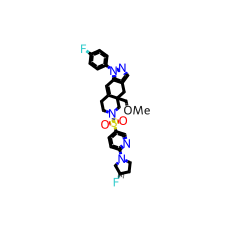 COCC12Cc3cnn(-c4ccc(F)cc4)c3C=C1CCN(S(=O)(=O)c1ccc(N3CC[C@@H](F)C3)nc1)C2